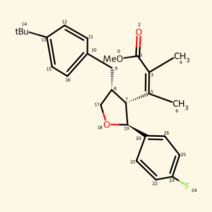 COC(=O)/C(C)=C(/C)[C@H]1[C@@H](Cc2ccc(C(C)(C)C)cc2)CO[C@@H]1c1ccc(F)cc1